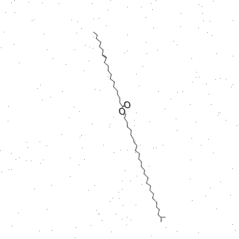 CCCCCCC=CCCCCCCCCCCCC(=O)OCCCCCCCCCCCCCCCCCCCCCCCCCCC(C)C